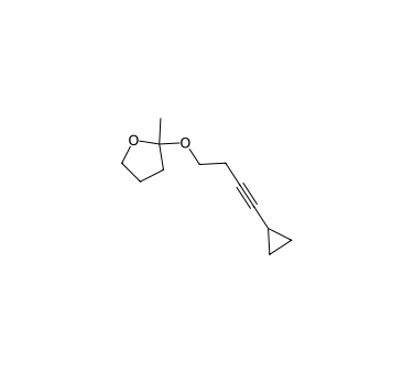 CC1(OCCC#CC2CC2)CCCO1